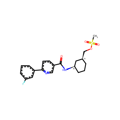 CS(=O)(=O)OC[C@H]1CCC[C@@H](NC(=O)c2ccc(-c3cccc(F)c3)nc2)C1